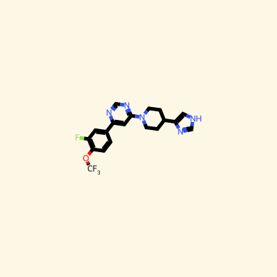 Fc1cc(-c2cc(N3CCC(c4c[nH]cn4)CC3)ncn2)ccc1OC(F)(F)F